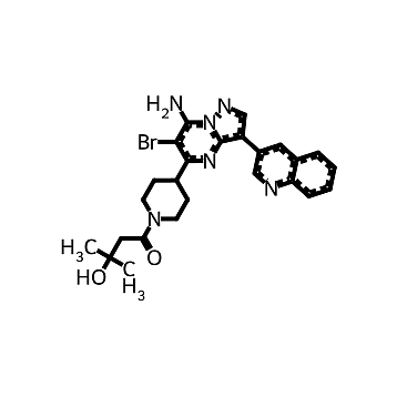 CC(C)(O)CC(=O)N1CCC(c2nc3c(-c4cnc5ccccc5c4)cnn3c(N)c2Br)CC1